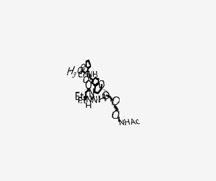 CCC1(CC)CC(=O)N([C@@H]2C[C@@H](COCCOCCOCCNC(C)=O)Oc3ccc(C(=O)N[C@H]4CC(C)(C)Oc5ccccc54)cc32)C(=N)N1